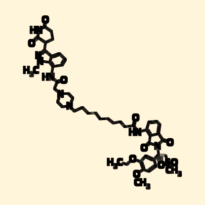 CCOc1cc([C@@H](CS(C)(=O)=O)N2C(=O)c3cccc(NC(=O)CCCCCCCCCN4CCN(CC(=O)Nc5cccc6c(C7CCC(=O)NC7=O)nn(C)c56)CC4)c3C2=O)ccc1OC